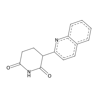 O=C1CCC(c2ccc3ccccc3n2)C(=O)N1